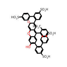 O=C(O)c1ccccc1-c1c2cc(-c3ccc(S(=O)(=O)O)cc3-c3ccc(S(=O)(=O)O)cc3)c(=O)cc-2oc2cc(O)c(-c3ccc(S(=O)(=O)O)cc3-c3ccc(S(=O)(=O)O)cc3)cc12